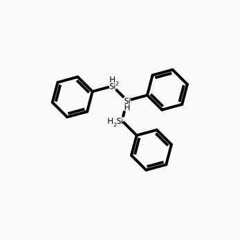 c1ccc([SiH2][SiH]([SiH2]c2ccccc2)c2ccccc2)cc1